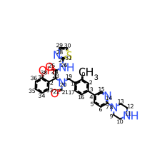 Cc1cc(-c2ccc(N3CCNCC3)nc2)ccc1CN(C=O)C(C(=O)Nc1nccs1)c1ccccc1O